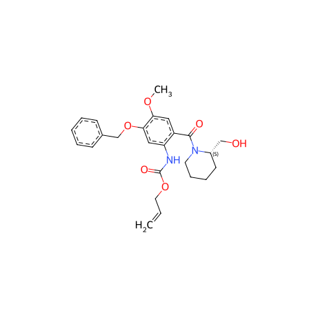 C=CCOC(=O)Nc1cc(OCc2ccccc2)c(OC)cc1C(=O)N1CCCC[C@H]1CO